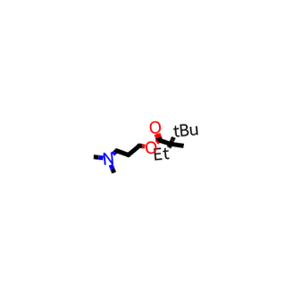 CCC(C)(C(=O)OCCCN(C)C)C(C)(C)C